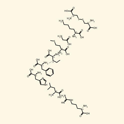 CC(C)C[C@H](N)C(=O)O.CC[C@H](C)[C@H](N)C(=O)O.CSCC[C@H](N)C(=O)O.N=C(N)NCCC[C@H](N)C(=O)O.NCC(=O)O.NCCCC[C@H](N)C(=O)O.N[C@@H](CSSC[C@H](N)C(=O)O)C(=O)O.N[C@@H](Cc1c[nH]cn1)C(=O)O.N[C@@H](Cc1ccccc1)C(=O)O